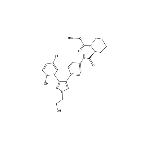 CC(C)(C)OC(=O)N1CCCC[C@H]1C(=O)Nc1ccc(-c2cn(CCO)nc2-c2cc(Cl)ccc2O)cc1